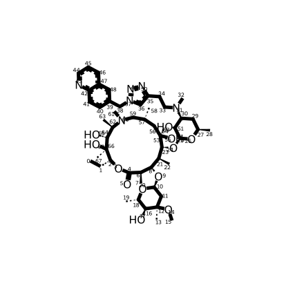 CC[C@H]1OC(=O)[C@H](C)[C@@H](O[C@H]2C[C@@](C)(OC)[C@@H](O)[C@H](C)O2)[C@H](C)[C@@H](O[C@@H]2O[C@H](C)C[C@H](N(C)CCc3cn(Cc4ccc5ncccc5c4)nn3)[C@H]2O)[C@](C)(O)C[C@@H](C)CN(C)[C@H](C)[C@@H](O)[C@]1(C)O